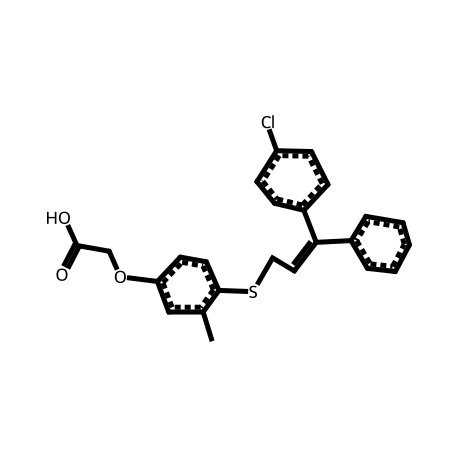 Cc1cc(OCC(=O)O)ccc1SCC=C(c1ccccc1)c1ccc(Cl)cc1